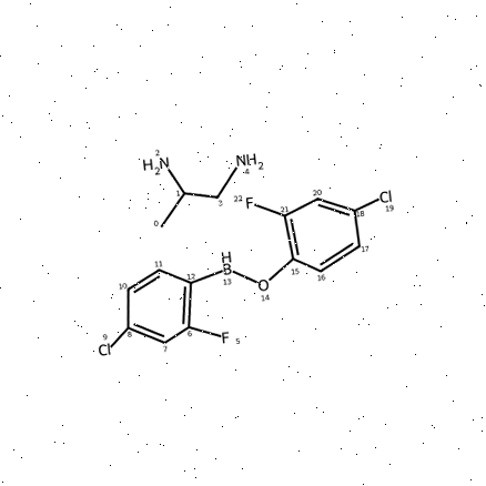 CC(N)CN.Fc1cc(Cl)ccc1BOc1ccc(Cl)cc1F